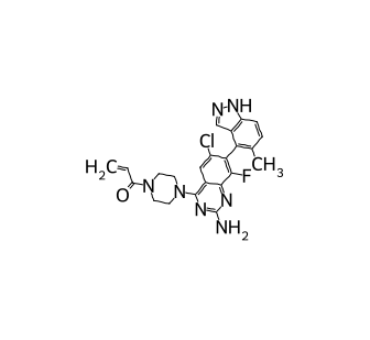 C=CC(=O)N1CCN(c2nc(N)nc3c(F)c(-c4c(C)ccc5[nH]ncc45)c(Cl)cc23)CC1